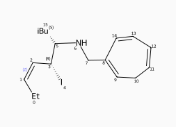 CC/C=C\[C@@H](I)C(NCC1=CCC=CC=C1)[C@@H](C)CC